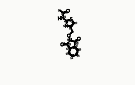 CC(=O)Nc1nc(CON2C(=O)c3ccccc3C2=O)cs1